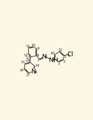 Clc1ccc(N/N=C/c2ccccc2-c2cccnc2)cc1